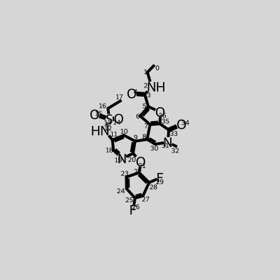 CCNC(=O)c1cc2c(-c3cc(NS(=O)(=O)CC)cnc3Oc3ccc(F)cc3F)cn(C)c(=O)c2o1